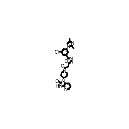 Cc1cn(-c2cc(Cl)cc(-c3nnc(CC(=O)N4CCC(n5c(=O)[nH]c6ncccc65)CC4)o3)c2)c(C)n1